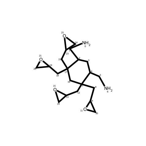 NCC1CC(CN)C(CC2CO2)(CC2CO2)CC1(CC1CO1)CC1CO1